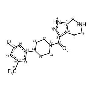 O=C(c1n[nH]c2c1CCNC2)N1CCC(c2cc(I)cc(C(F)(F)F)c2)CC1